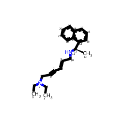 CCN(CC)CC#C/C=C/CN[C@H](C)c1cccc2ccccc12